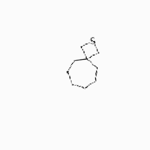 C1CCCC2(CC1)CSC2